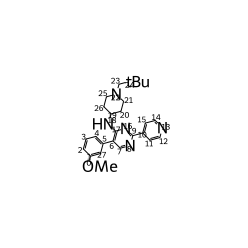 COc1cccc(-c2cnc(-c3ccncc3)nc2NC2CCN(CC(C)(C)C)CC2)c1